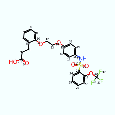 O=C(O)CCc1ccccc1OCCOc1ccc(NS(=O)(=O)c2ccccc2OC(F)(F)F)cc1